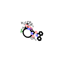 C[C@H]1CCCCCC(F)(F)C[C@@H]2C[C@@]2(C(=O)OC(C)(C)C)NC(=O)[C@@H]2C[C@@H](Oc3nc4ccccc4c4ccccc34)CN2C1=O